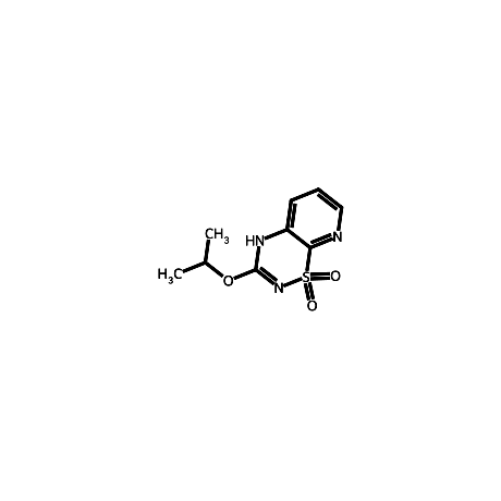 CC(C)OC1=NS(=O)(=O)c2ncccc2N1